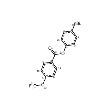 CCCCc1ccc(OC(=O)c2ccc(OC(F)(F)F)cc2)cc1